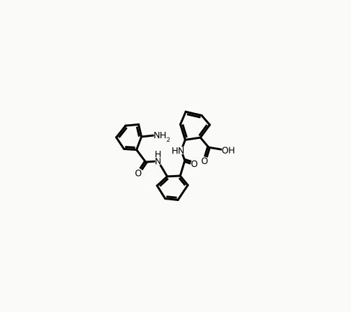 Nc1ccccc1C(=O)Nc1ccccc1C(=O)Nc1ccccc1C(=O)O